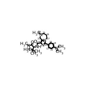 CNC(=O)C(NC(=O)c1nc(-c2ccc(N(C)C)cc2)n2c1CN(C)CCC2)C(C)(C)C